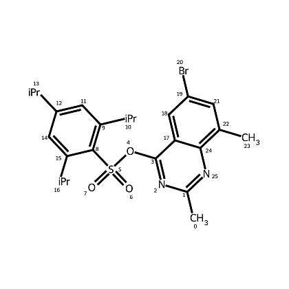 Cc1nc(OS(=O)(=O)c2c(C(C)C)cc(C(C)C)cc2C(C)C)c2cc(Br)cc(C)c2n1